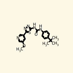 COc1cncc(-c2nnc(NC(=O)Nc3ccc(C(C)(C)C)cc3)s2)c1